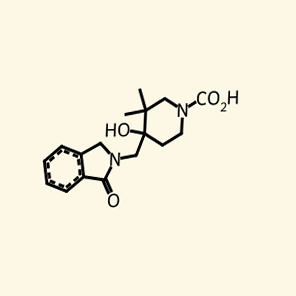 CC1(C)CN(C(=O)O)CCC1(O)CN1Cc2ccccc2C1=O